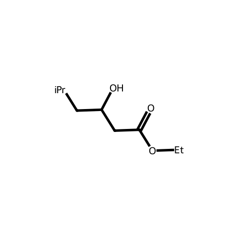 CCOC(=O)CC(O)CC(C)C